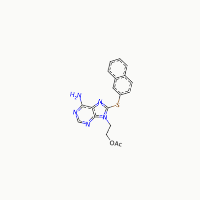 CC(=O)OCCn1c(Sc2ccc3ccccc3c2)nc2c(N)ncnc21